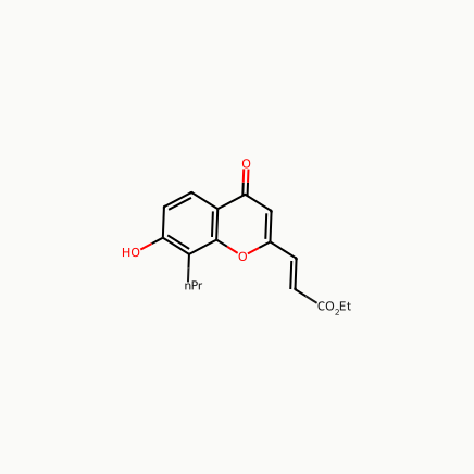 CCCc1c(O)ccc2c(=O)cc(C=CC(=O)OCC)oc12